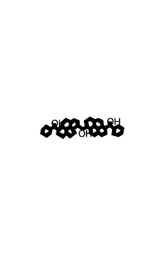 OC(c1ccccc1)c1ccc2ccc3c(C(O)c4ccc5ccc6c(C(O)c7ccccc7)ccc7ccc4c5c76)ccc4ccc1c2c43